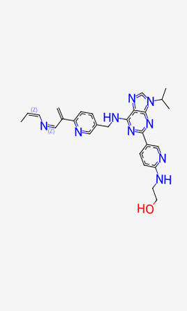 C=C(/C=N\C=C/C)c1ccc(CNc2nc(-c3ccc(NCCO)nc3)nc3c2ncn3C(C)C)cn1